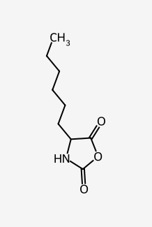 CCCCCCC1NC(=O)OC1=O